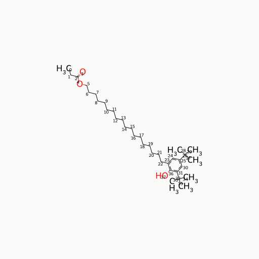 CCC(=O)OCCCCCCCCCCCCCCCCCCc1cc(C(C)(C)C)cc(C(C)(C)C)c1O